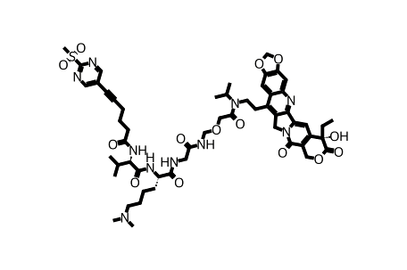 CC[C@@]1(O)C(=O)OCc2c1cc1n(c2=O)Cc2c-1nc1cc3c(cc1c2CCN(C(=O)COCNC(=O)CNC(=O)[C@H](CCCCN(C)C)NC(=O)[C@@H](NC(=O)CCCC#Cc1cnc(S(C)(=O)=O)nc1)C(C)C)C(C)C)OCO3